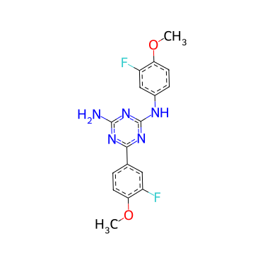 COc1ccc(Nc2nc(N)nc(-c3ccc(OC)c(F)c3)n2)cc1F